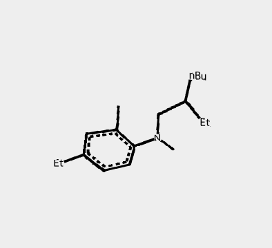 CCCCC(CC)CN(C)c1ccc(CC)cc1C